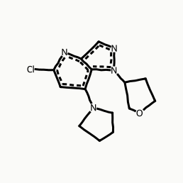 Clc1cc(N2CCCC2)c2c(cnn2C2CCOC2)n1